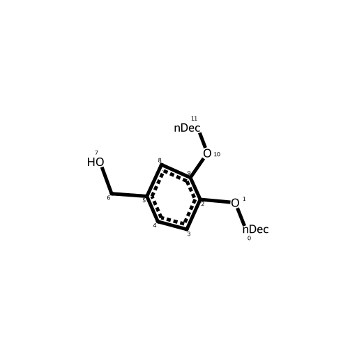 CCCCCCCCCCOc1ccc(CO)cc1OCCCCCCCCCC